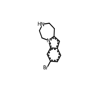 Brc1ccc2cc3n(c2c1)CCNCC3